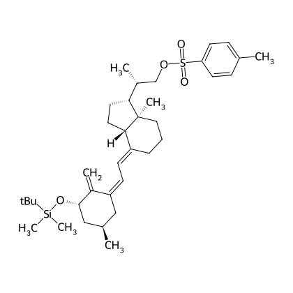 C=C1/C(=C\C=C2/CCC[C@]3(C)[C@@H]([C@H](C)COS(=O)(=O)c4ccc(C)cc4)CC[C@@H]23)C[C@@H](C)C[C@@H]1O[Si](C)(C)C(C)(C)C